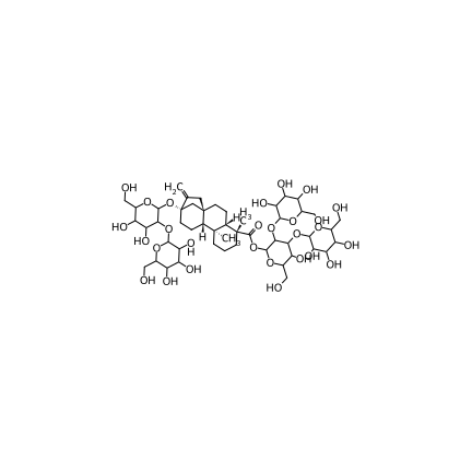 C=C1C[C@@]23CC[C@H]4[C@@](C)(CCC[C@@]4(C)C(=O)OC4OC(CO)C(O)C(OC5OC(CO)C(O)C(O)C5O)C4OC4OC(CO)C(O)C(O)C4O)[C@@H]2CC[C@]1(OC1OC(CO)C(O)C(O)C1OC1OC(CO)C(O)C(O)C1O)C3